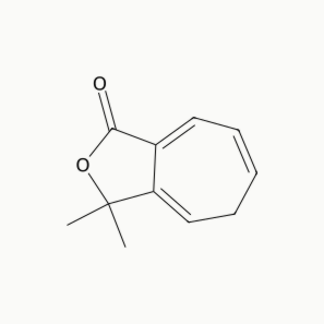 CC1(C)OC(=O)C2=CC=CCC=C21